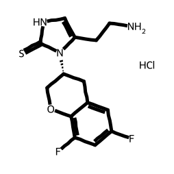 Cl.NCCc1c[nH]c(=S)n1[C@H]1COc2c(F)cc(F)cc2C1